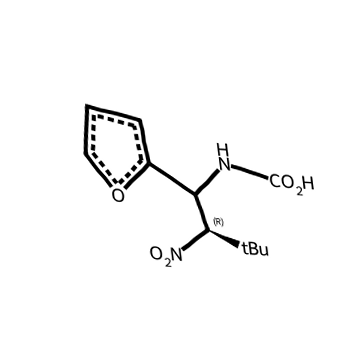 CC(C)(C)[C@H](C(NC(=O)O)c1ccco1)[N+](=O)[O-]